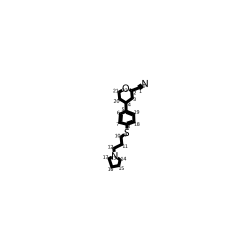 N#CC1CC(c2ccc(SCCCN3CCCC3)cc2)CCO1